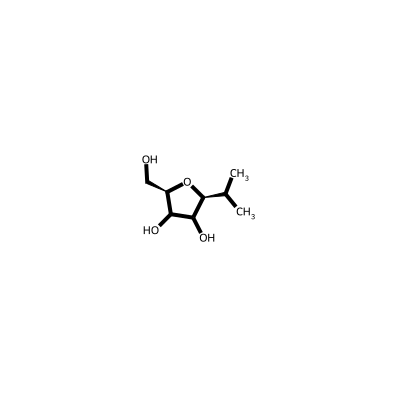 CC(C)[C@@H]1O[C@H](CO)C(O)C1O